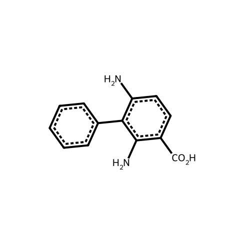 Nc1ccc(C(=O)O)c(N)c1-c1ccccc1